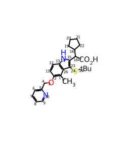 Cc1c(OCc2ccccn2)ccc2[nH]c(C(C(=O)O)C3CCCC3)c(SC(C)(C)C)c12